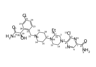 CC[C@H]1CN(c2ncc(C(N)=O)nc2Cl)CCN1C1CCN(Cc2ccc(Cl)cc2[C@@H](O)C(N)=O)CC1